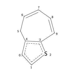 [c]1csc2c1CC=CC=C2